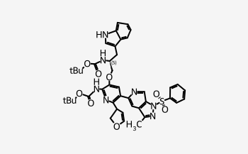 Cc1nn(S(=O)(=O)c2ccccc2)c2cnc(-c3cc(OC[C@H](Cc4c[nH]c5ccccc45)NC(=O)OC(C)(C)C)c(NC(=O)OC(C)(C)C)nc3C3C=COC3)cc12